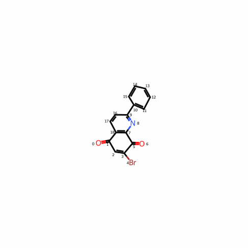 O=C1C=C(Br)C(=O)c2nc(-c3ccccc3)ccc21